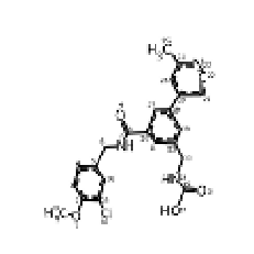 COc1ccc(CNC(=O)c2cc(CNC(=O)O)cc(-c3ccnc(C)c3)c2)cc1Cl